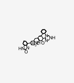 CC1=C(CC2CC(c3cccc4c3[N]C(=O)N4)CCN2)C=C(c2ccccc2)C(C2=NCNC=N2)C1=O